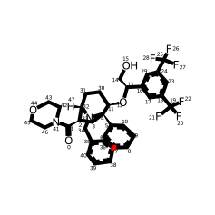 O=C([C@@H]1C[C@@]2(c3ccccc3)[C@H](O[C@@H](CO)c3cc(C(F)(F)F)cc(C(F)(F)F)c3)CC[C@@H]1N2Cc1ccccc1)N1CCOCC1